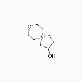 OC1CC[N+]2(CCOCC2)C1